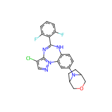 Fc1cccc(F)c1C1=Nc2c(Cl)cnn2-c2cc(N3C4CCC3COC4)ccc2N1